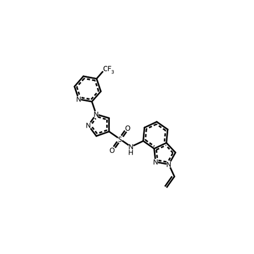 C=Cn1cc2cccc(NS(=O)(=O)c3cnn(-c4cc(C(F)(F)F)ccn4)c3)c2n1